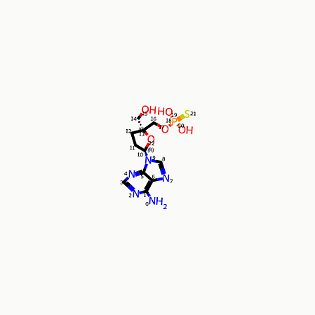 Nc1ncnc2c1ncn2[C@H]1CC[C@@](CO)(COP(O)(O)=S)O1